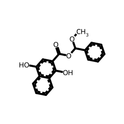 COC(OC(=O)c1cc(O)c2ccccc2c1O)c1ccccc1